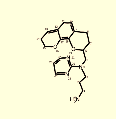 NCCCN(CC1CCC2=CCC3=CCCOC3=C2O1)c1ncccn1